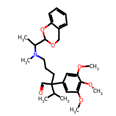 COc1cc(C(C=O)(CCCN(C)C(C)C2OCc3ccccc3O2)C(C)C)cc(OC)c1OC